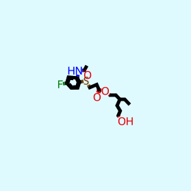 CCC(CCCO)CCOC(=O)CCSc1ccc(F)cc1NC(C)=O